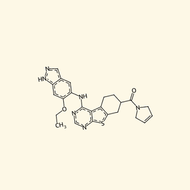 CCOc1cc2[nH]ncc2cc1Nc1ncnc2sc3c(c12)CCC(C(=O)N1CC=CC1)C3